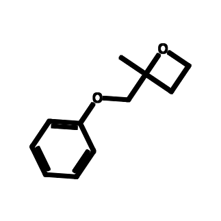 CC1(COc2ccccc2)CCO1